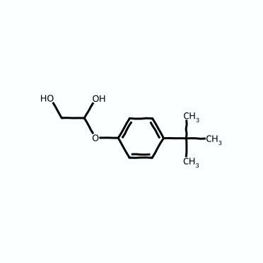 CC(C)(C)c1ccc(OC(O)CO)cc1